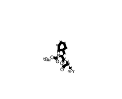 CC(C)C[C@H]1C[C@@H]([C@H](CC2CCCCC2)NC(=O)OC(C)(C)C)OC1=O